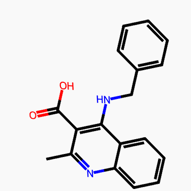 Cc1nc2ccccc2c(NCc2ccccc2)c1C(=O)O